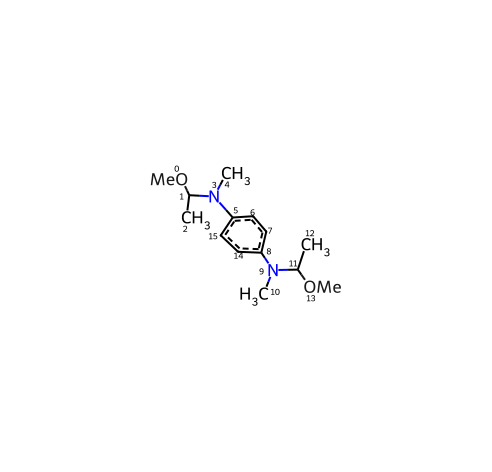 COC(C)N(C)c1ccc(N(C)C(C)OC)cc1